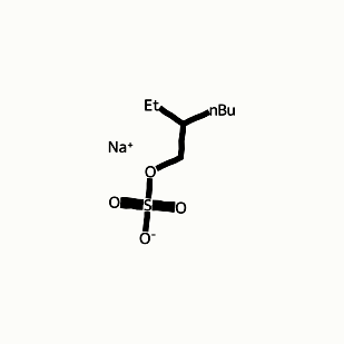 CCCCC(CC)COS(=O)(=O)[O-].[Na+]